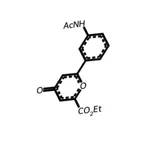 CCOC(=O)c1cc(=O)cc(-c2cccc(NC(C)=O)c2)o1